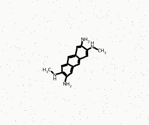 CNc1cc2cc3cc(N)c(NC)cc3cc2cc1N